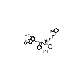 Cl.O=C(CCOCCc1ccccc1F)N(CCN(CCc1ccc(O)c2[nH]c(=O)ccc12)c1ccccc1)C1CCCCC1